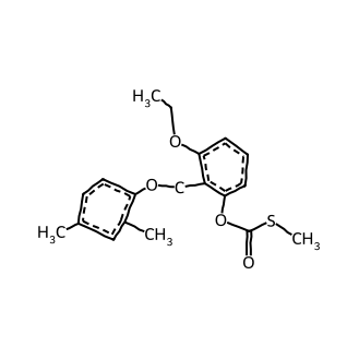 CCOc1cccc(OC(=O)SC)c1COc1ccc(C)cc1C